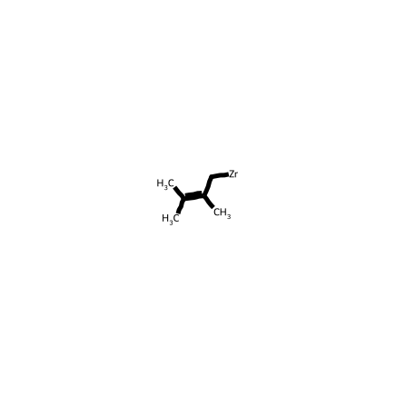 CC(C)=C(C)[CH2][Zr]